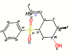 C/[SiH]=C/C1C[C@@H](C)[C@H](O)CC1S(=O)(=O)c1ccccc1